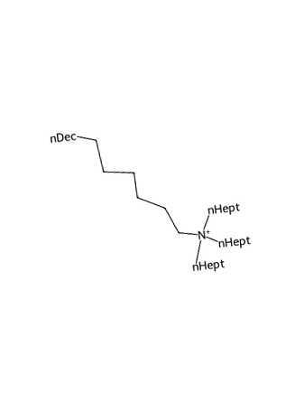 CCCCCCCCCCCCCCCC[N+](CCCCCCC)(CCCCCCC)CCCCCCC